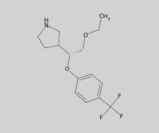 CCOC[C@H](Oc1ccc(C(F)(F)F)cc1)C1CCNC1